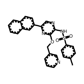 Cc1ccc(S(=O)(=O)Nc2ncc(-c3ccc4ccccc4c3)nc2OCc2cccnc2)cc1